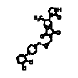 CC1C2CC(C3C(=O)N(C[C@H]4C[C@@H]4CN4CCN(c5cccc(Cl)c5Cl)CC4)C(=O)C23)C1N1CCNC1=O